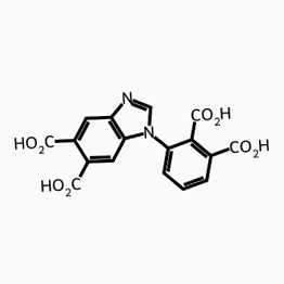 O=C(O)c1cc2ncn(-c3cccc(C(=O)O)c3C(=O)O)c2cc1C(=O)O